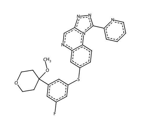 COC1(c2cc(F)cc(Sc3ccc4c(c3)ncc3nnc(-c5ccccn5)n34)c2)CCOCC1